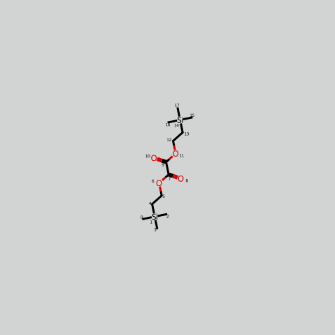 C[Si](C)(C)CCOC(=O)C(=O)OCC[Si](C)(C)C